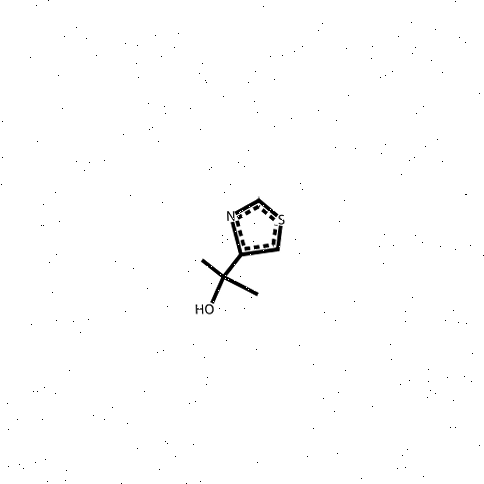 CC(C)(O)c1cs[c]n1